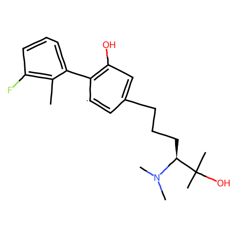 Cc1c(F)cccc1-c1[c]cc(CCC[C@H](N(C)C)C(C)(C)O)cc1O